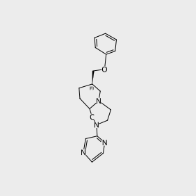 c1ccc(OC[C@@H]2CCC3CN(c4cnccn4)CCN3C2)cc1